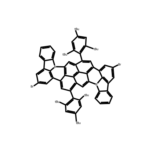 CC(C)(C)c1cc(C(C)(C)C)c(-c2cc3c4c(cc5c(-c6c(C(C)(C)C)cc(C(C)(C)C)cc6C(C)(C)C)cc6c7c(cc2c4c57)B2c4ccccc4-c4cc(Br)cc-6c42)B2c4ccccc4-c4cc(Br)cc-3c42)c(C(C)(C)C)c1